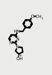 COc1ccc(CNc2ccnc(N3CC[C@@H](O)C3)n2)cc1